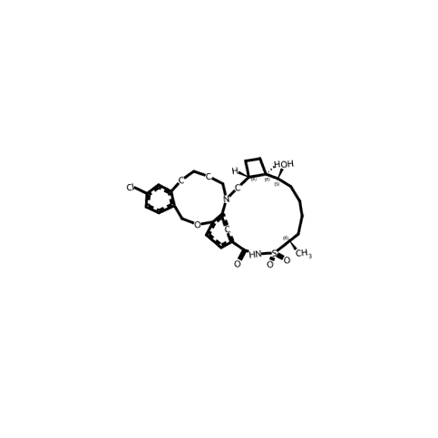 C[C@@H]1CCCC[C@H](O)[C@@H]2CC[C@H]2CN2CCCCc3cc(Cl)ccc3COc3ccc(cc32)C(=O)NS1(=O)=O